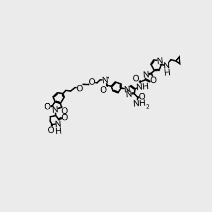 CN(CCOCCOCCCc1ccc2c(c1)C(=O)N(C1CCC(=O)NC1=O)C2=O)C(=O)c1ccc(-n2cc(NC(=O)c3coc(-c4ccnc(NCC5CC5)c4)n3)c(C(N)=O)n2)cc1